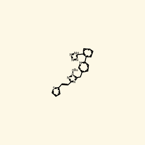 CCCCn1nc(C=Cc2cccs2)nc1Cc1ccc(-c2ccccc2-c2nnn[nH]2)nc1